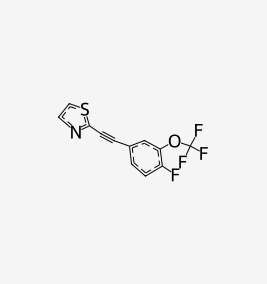 Fc1ccc(C#Cc2nccs2)cc1OC(F)(F)F